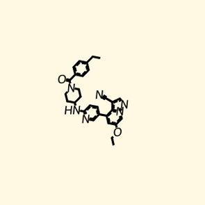 CCOc1cc(-c2ccc(NC3CCN(C(=O)c4ccc(CC)cc4)CC3)nc2)c2c(C#N)cnn2c1